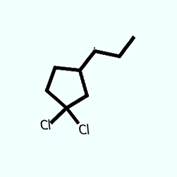 CC[CH]C1CCC(Cl)(Cl)C1